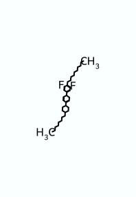 CCCCCCCCCCc1c(F)cc(C2C=CC(C3CCC(CCCCCCCC)CC3)=CC2)cc1F